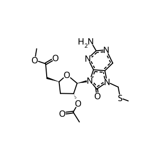 COC(=O)C[C@@H]1C[C@@H](OC(C)=O)[C@H](n2c(=O)n(CSC)c3cnc(N)nc32)O1